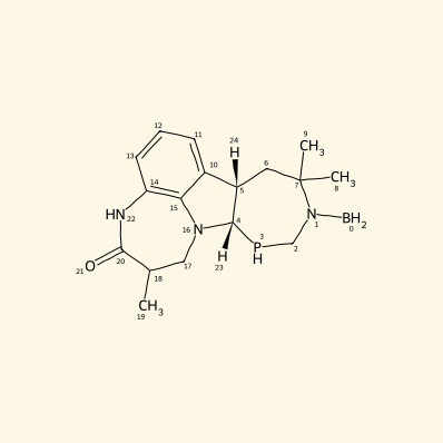 BN1CP[C@H]2[C@@H](CC1(C)C)c1cccc3c1N2CC(C)C(=O)N3